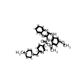 COc1cc(Nc2nc3ccccc3nc2NS(=O)(=O)c2ccc(CN3CCN(C)CC3)nc2)cc(OC)c1